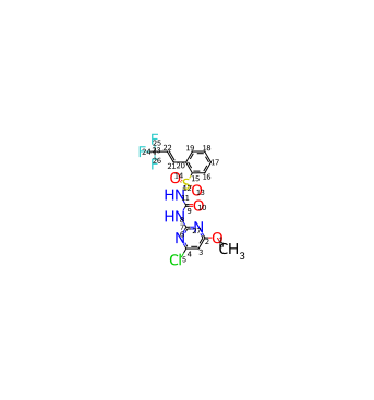 COc1cc(Cl)nc(NC(=O)NS(=O)(=O)c2ccccc2C=CC(F)(F)F)n1